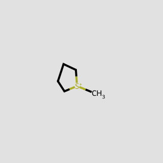 C[S+]1CCCC1